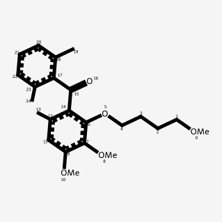 COCCCCOc1c(OC)c(OC)cc(C)c1C(=O)c1c(C)cccc1C